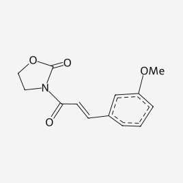 COc1cccc(C=CC(=O)N2CCOC2=O)c1